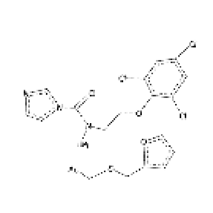 CC(=O)CSCc1ccco1.CCCN(CCOc1c(Cl)cc(Cl)cc1Cl)C(=O)n1ccnc1